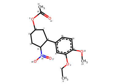 CCOc1cc(C2CC(OC(C)=O)CCC2[N+](=O)[O-])ccc1OC